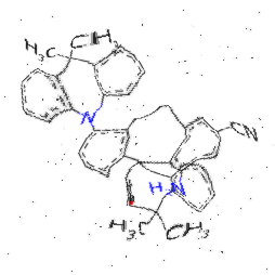 CC1(C)c2ccccc2N(c2cccc3c2CCc2cc(C#N)cc(N)c2C32c3ccccc3C(C)(C)c3ccccc32)c2ccccc21